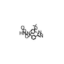 Cc1cc(C2(c3cccc(-c4cncnc4)c3)COC(NOC=O)=N2)ccc1OC(C)C